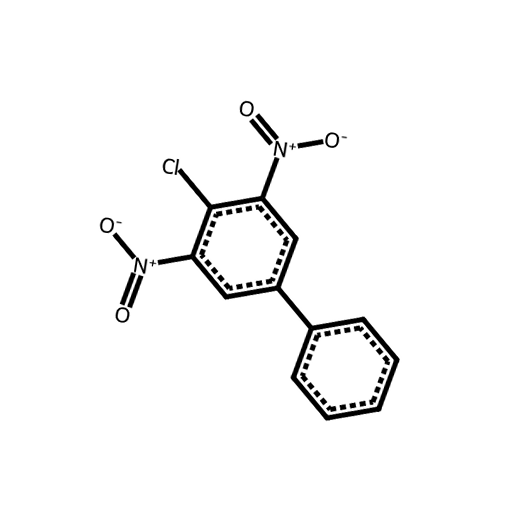 O=[N+]([O-])c1cc(-c2ccccc2)cc([N+](=O)[O-])c1Cl